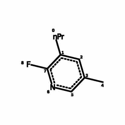 CCCc1cc(C)cnc1F